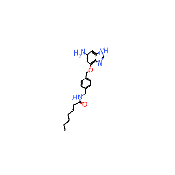 CCCCCCC(=O)NCc1ccc(COc2cc(N)cc3[nH]cnc23)cc1